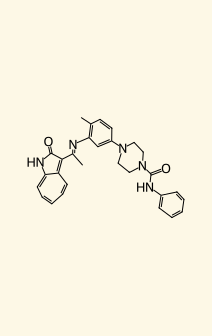 C/C(=N\c1cc(N2CCN(C(=O)Nc3ccccc3)CC2)ccc1C)c1c2cccccc-2[nH]c1=O